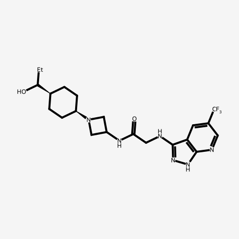 CCC(O)[C@H]1CC[C@@H](N2CC(NC(=O)CNc3n[nH]c4ncc(C(F)(F)F)cc34)C2)CC1